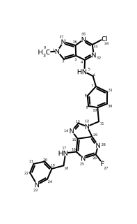 Cn1cc2c(NCc3ccc(Cn4cnc5c(NCc6cccnc6)nc(F)nc54)cc3)nc(Cl)nc2n1